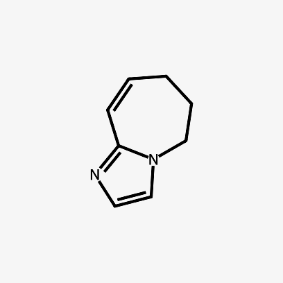 C1=Cc2nccn2CCC1